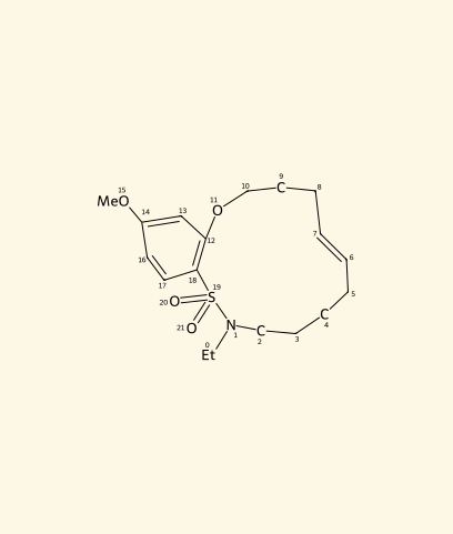 CCN1CCCC/C=C/CCCOc2cc(OC)ccc2S1(=O)=O